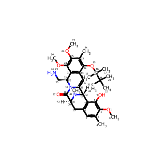 COc1c(C)cc2c(c1O)[C@H]1C3=Cc4c(O[Si](C)(C)C(C)(C)C)c(C)c(OC)c(OC)c4[C@H](CN)N3C(=O)[C@H](C2)N1C